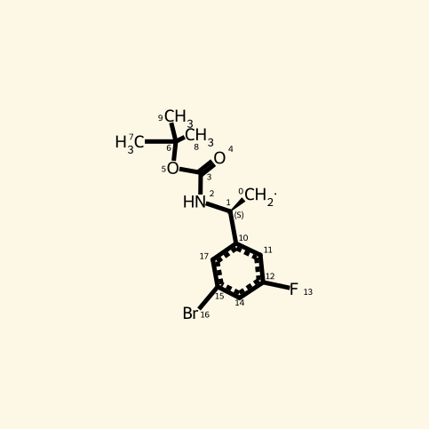 [CH2][C@H](NC(=O)OC(C)(C)C)c1cc(F)cc(Br)c1